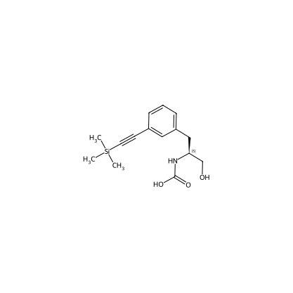 C[Si](C)(C)C#Cc1cccc(C[C@@H](CO)NC(=O)O)c1